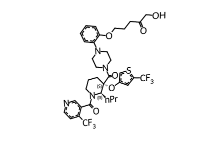 CCC[C@H]1N(C(=O)c2cnccc2C(F)(F)F)CCC[C@@]1(Oc1csc(C(F)(F)F)c1)C(=O)N1CCN(c2ccccc2OCCCC(=O)CO)CC1